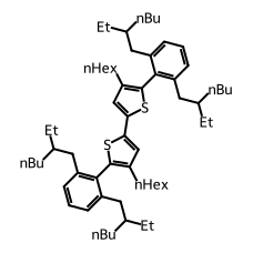 CCCCCCc1cc(-c2cc(CCCCCC)c(-c3c(CC(CC)CCCC)cccc3CC(CC)CCCC)s2)sc1-c1c(CC(CC)CCCC)cccc1CC(CC)CCCC